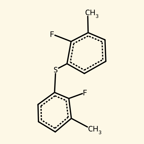 Cc1cccc(Sc2cccc(C)c2F)c1F